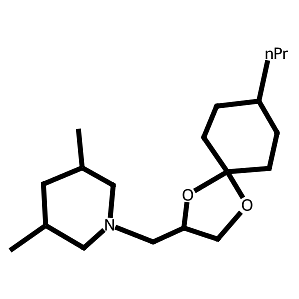 CCCC1CCC2(CC1)OCC(CN1CC(C)CC(C)C1)O2